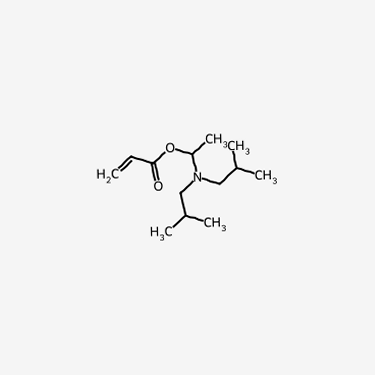 C=CC(=O)OC(C)N(CC(C)C)CC(C)C